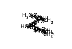 CCOC(=O)Cc1ccc(NC(C)=O)cc1OCc1cc(-c2cccc(CNC(=O)OC(C)(C)C)c2)c2oc(CO)cc2c1